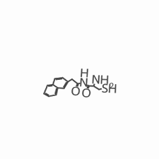 NC(CS)C(=O)NC(=O)Cc1ccc2ccccc2c1